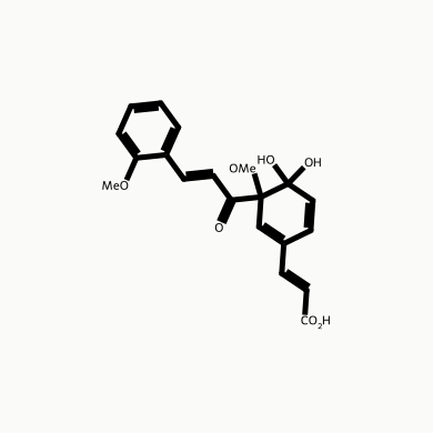 COc1ccccc1/C=C/C(=O)C1(OC)C=C(/C=C/C(=O)O)C=CC1(O)O